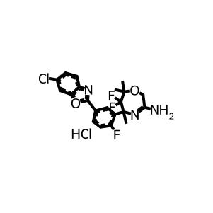 CC1(C)OCC(N)=NC(C)(c2cc(-c3nc4ccc(Cl)cc4o3)ccc2F)C1(F)F.Cl